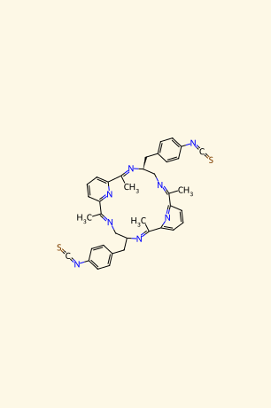 C/C1=N\C[C@H](Cc2ccc(N=C=S)cc2)/N=C(\C)c2cccc(n2)/C(C)=N/CC(Cc2ccc(N=C=S)cc2)/N=C(\C)c2cccc1n2